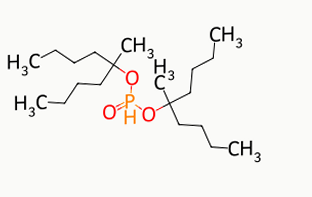 CCCCC(C)(CCCC)O[PH](=O)OC(C)(CCCC)CCCC